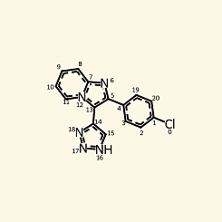 Clc1ccc(-c2nc3ccccn3c2-c2c[nH]nn2)cc1